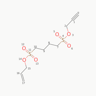 C#CCOS(=O)(=O)CCCCS(=O)(=O)OCC=C